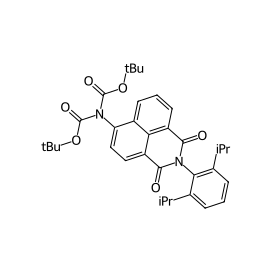 CC(C)c1cccc(C(C)C)c1N1C(=O)c2cccc3c(N(C(=O)OC(C)(C)C)C(=O)OC(C)(C)C)ccc(c23)C1=O